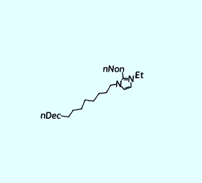 CCCCCCCCCCCCCCCCCCn1cc[n+](CC)c1CCCCCCCCC